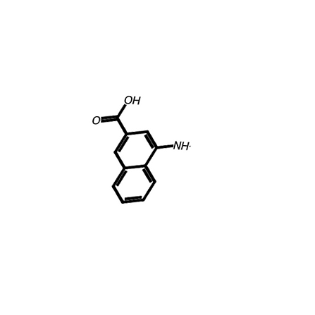 [NH]c1cc(C(=O)O)cc2ccccc12